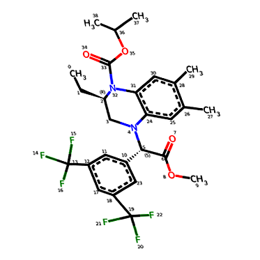 CC[C@@H]1CN([C@H](C(=O)OC)c2cc(C(F)(F)F)cc(C(F)(F)F)c2)c2cc(C)c(C)cc2N1C(=O)OC(C)C